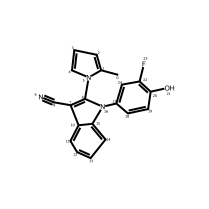 Cc1cccn1-c1c(C#N)c2ccccc2n1-c1ccc(O)c(F)c1